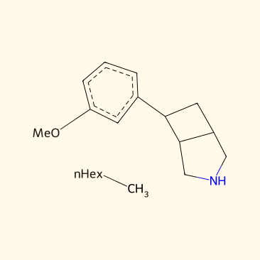 CCCCCCC.COc1cccc(C2CC3CNCC32)c1